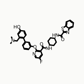 CN(C)Cc1cc(O)ccc1-c1cccc(Oc2ncc(F)cc2C(=O)N[C@H]2CC[C@@H](NC(=O)c3nc4ccccc4s3)CC2)c1